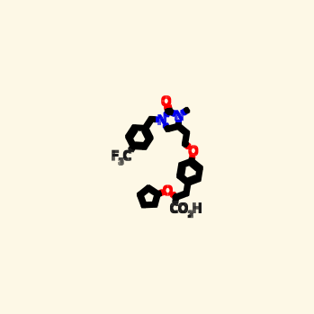 CN1C(=O)N(Cc2ccc(C(F)(F)F)cc2)CC1CCOc1ccc(CC(OC2CCCC2)C(=O)O)cc1